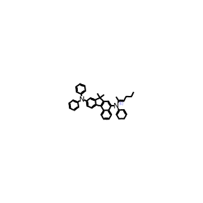 CCC/C=C(\C)N(C1=CCCC=C1)c1cc2c(c3ccccc13)-c1ccc(N(c3ccccc3)c3ccccc3)cc1C2(C)C